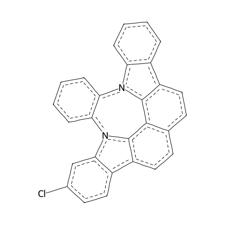 Clc1ccc2c3ccc4ccc5c6ccccc6n6c7ccccc7n(c2c1)c3c4c56